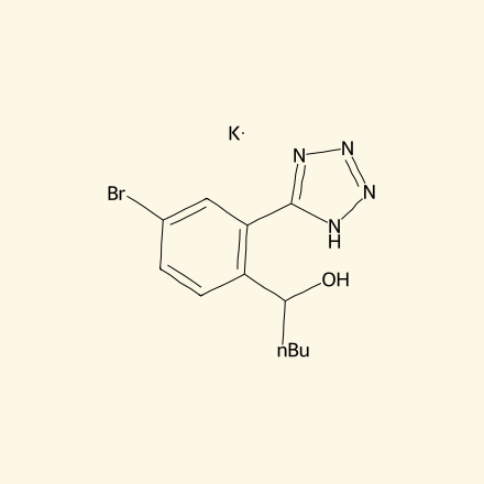 CCCCC(O)c1ccc(Br)cc1-c1nnn[nH]1.[K]